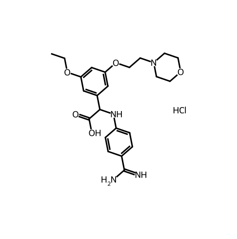 CCOc1cc(OCCN2CCOCC2)cc(C(Nc2ccc(C(=N)N)cc2)C(=O)O)c1.Cl